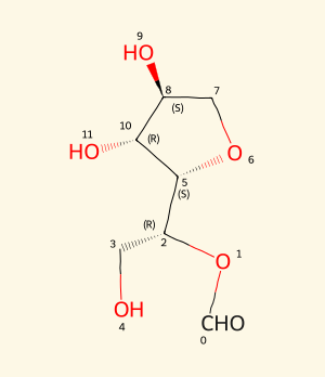 O=CO[C@H](CO)[C@H]1OC[C@H](O)[C@H]1O